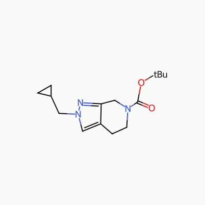 CC(C)(C)OC(=O)N1CCc2cn(CC3CC3)nc2C1